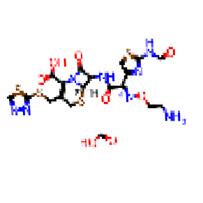 NCCO/N=C(/C(=O)NC1C(=O)N2C(C(=O)O)=C(CSc3nncs3)CS[C@H]12)c1csc(NC=O)n1.O=CO